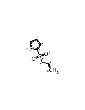 C=CCS(=O)(=O)c1cccs1